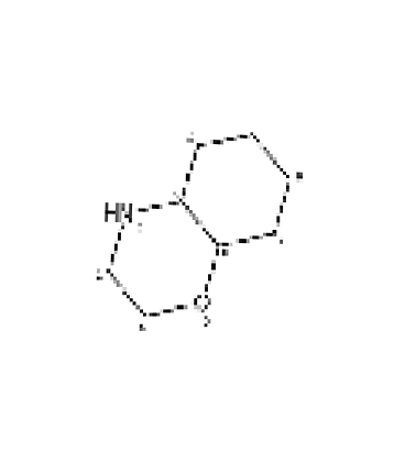 [C]1CNC2CCCCC2O1